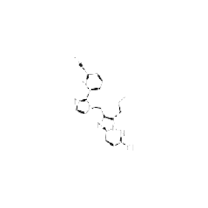 CCCc1c(Cn2ccnc2-c2cccc(C#N)n2)nc2ccc(Cl)nn12